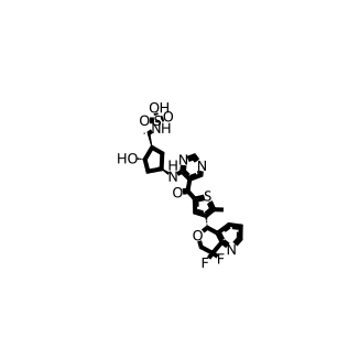 Cc1sc(C(=O)c2cncnc2N[C@H]2C[C@H](O)[C@@H]([CH]NS(=O)(=O)O)C2)cc1[C@H]1OCC(F)(F)c2ncccc21